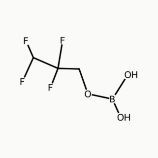 OB(O)OCC(F)(F)C(F)F